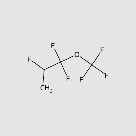 CC(F)C(F)(F)OC(F)(F)F